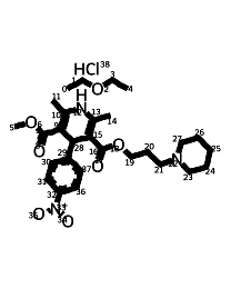 CCOCC.COC(=O)C1=C(C)NC(C)=C(C(=O)OCCCN2CCCCC2)C1c1ccc([N+](=O)[O-])cc1.Cl